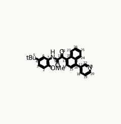 COc1ccc(C(C)(C)C)cc1NC(=O)C(=O)c1ccc(-c2cccnc2)c2ccccc12